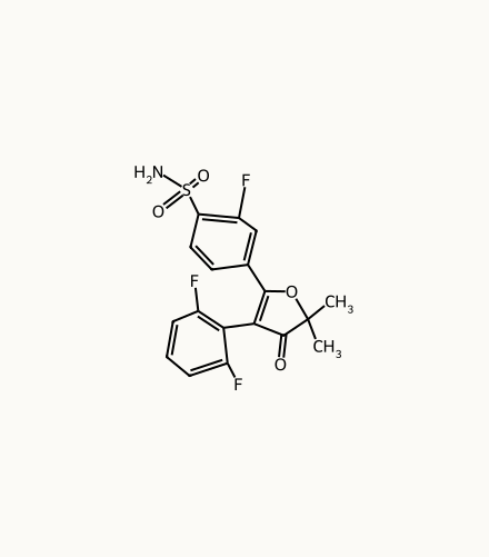 CC1(C)OC(c2ccc(S(N)(=O)=O)c(F)c2)=C(c2c(F)cccc2F)C1=O